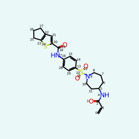 C=CC(=O)NC1CCCN(S(=O)(=O)c2ccc(NC(=O)c3cc4c(s3)CCC4)cc2)CC1